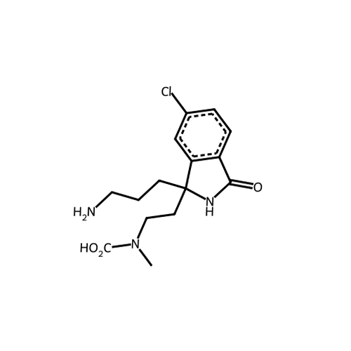 CN(CCC1(CCCN)NC(=O)c2ccc(Cl)cc21)C(=O)O